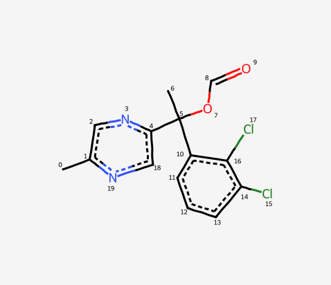 Cc1cnc(C(C)(OC=O)c2cccc(Cl)c2Cl)cn1